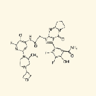 C[C@H]1CN(C2COC2)CCN1c1cc(NC(=O)Cn2cc(-c3cc(C(N)=O)c(O)c(F)c3F)c3c(=O)n4c(nc32)CCC4)c(Cl)c(F)n1